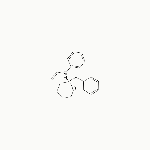 C=C[SiH](c1ccccc1)C1(Cc2ccccc2)CCCCO1